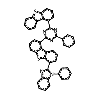 c1ccc(-c2nc(-c3cccc4sc5ccccc5c34)nc(-c3cccc4sc5c(-c6nc7ccccc7n6-c6ccccc6)cccc5c34)n2)cc1